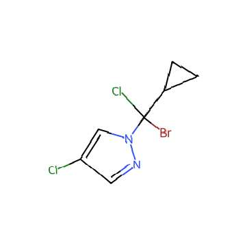 Clc1cnn(C(Cl)(Br)C2CC2)c1